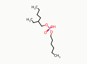 CCCCCCOP(=O)(O)OCC(CC)CCCC